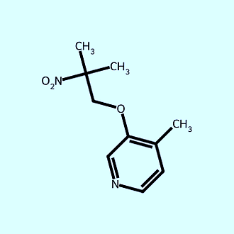 Cc1ccncc1OCC(C)(C)[N+](=O)[O-]